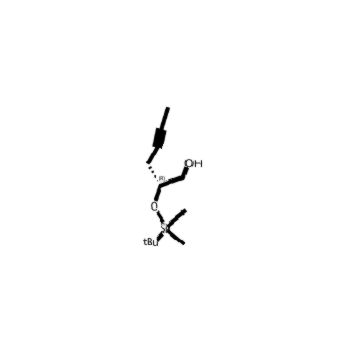 CC#CC[C@H](CO)O[Si](C)(C)C(C)(C)C